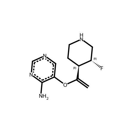 C=C(Oc1cncnc1N)[C@H]1CCNC[C@@H]1F